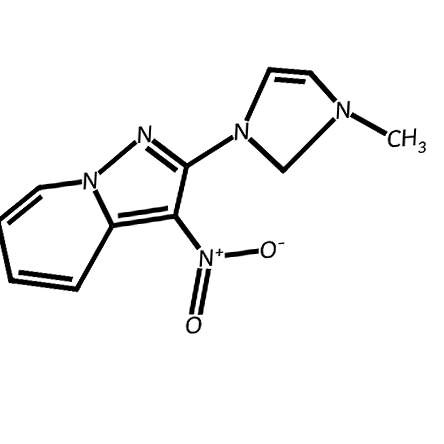 CN1C=CN(c2nn3ccccc3c2[N+](=O)[O-])C1